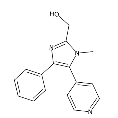 Cn1c(CO)nc(-c2ccccc2)c1-c1ccncc1